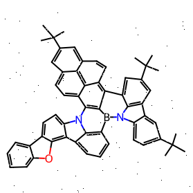 CC(C)(C)c1cc2ccc3c4c5c(c6ccc(c1)c2c36)-n1c2ccc3c6ccccc6oc3c2c2cccc(c21)B5n1c2ccc(C(C)(C)C)cc2c2cc(C(C)(C)C)cc-4c21